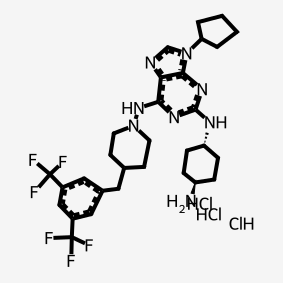 Cl.Cl.Cl.N[C@H]1CC[C@H](Nc2nc(NN3CCC(Cc4cc(C(F)(F)F)cc(C(F)(F)F)c4)CC3)c3ncn(C4CCCC4)c3n2)CC1